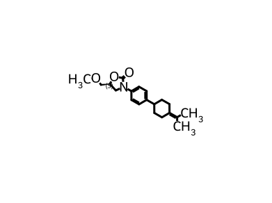 COC[C@@H]1CN(c2ccc(C3CCC(=C(C)C)CC3)cc2)C(=O)O1